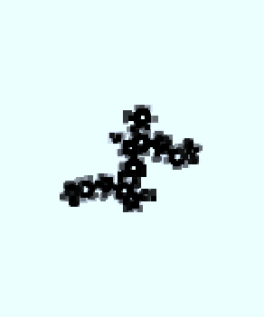 Cc1c(-c2cc(Sc3ncc(-[n+]4cc(C#N)c5c(Sc6ncccc6F)cc(-c6cnn(C7CCCN(S(C)(=O)=O)C7)c6C)cn54)cc3F)c3c(C#N)cnn3c2)cnn1C1CCN(S(C)(=O)=O)CC1